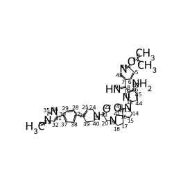 CC(C)Oc1ccc(C(=N)c2nc(N3CC[C@]4(CCN(CC(=O)N5CC=C(c6ccc(-c7cn(C)cn7)cc6)CC5)C4)C3=O)ccc2N)cn1